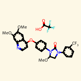 COc1cc2nccc(Oc3ccc(N4C(=O)N(c5cccc(C(F)(F)F)c5)CC4OC)cc3)c2cc1OC.O=C(O)C(F)(F)F